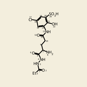 CCC(=O)NNC(=O)C(N)CCC(=O)Nc1cc(Cl)cc(S(=O)(=O)O)c1O